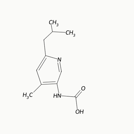 Cc1cc(CC(C)C)ncc1NC(=O)O